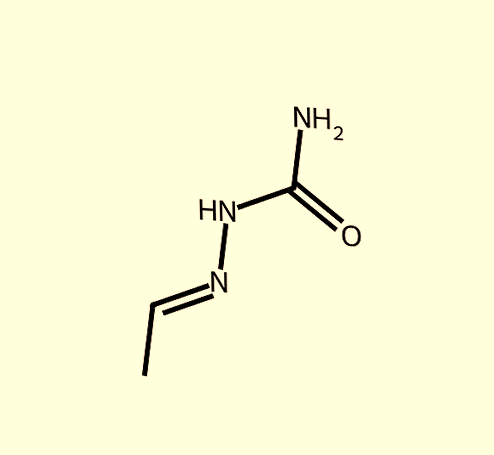 CC=NNC(N)=O